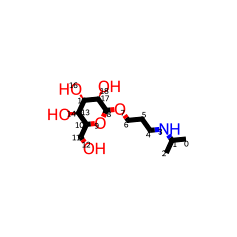 CC(C)NCCCOC1OC(CO)[C@@H](O)[C@H](O)[C@@H]1O